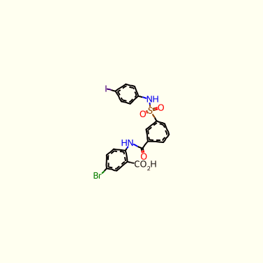 O=C(Nc1ccc(Br)cc1C(=O)O)c1cccc(S(=O)(=O)Nc2ccc(I)cc2)c1